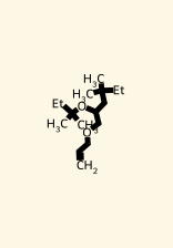 C=CCOCC(CC(C)(C)CC)OC(C)(C)CC